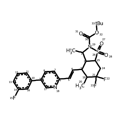 CC1C2C(/C=C/c3ccc(-c4cccc(F)c4)cn3)C(C)C(F)(F)CC2S(=O)(=O)N1C(=O)OC(C)(C)C